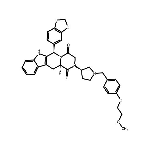 COCCOc1ccc(CN2CC[C@@H](N3CC(=O)N4[C@H](c5ccc6c(c5)OCO6)c5[nH]c6ccccc6c5C[C@@H]4C3=O)C2)cc1